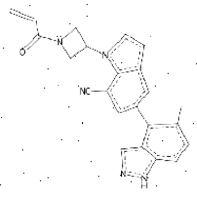 C=CC(=O)N1CC(n2ccc3cc(-c4c(C)ccc5[nH]ncc45)cc(C#N)c32)C1